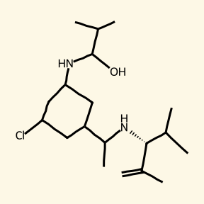 C=C(C)[C@H](NC(C)C1CC(Cl)CC(NC(O)C(C)C)C1)C(C)C